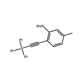 CNc1cc(C)ccc1C#C[Si](C(C)C)(C(C)C)C(C)C